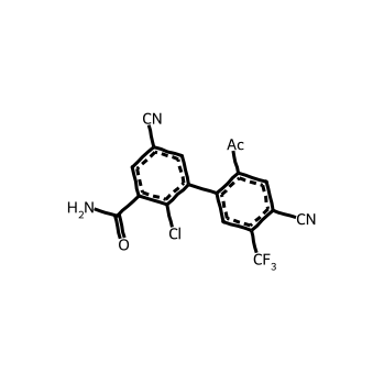 CC(=O)c1cc(C#N)c(C(F)(F)F)cc1-c1cc(C#N)cc(C(N)=O)c1Cl